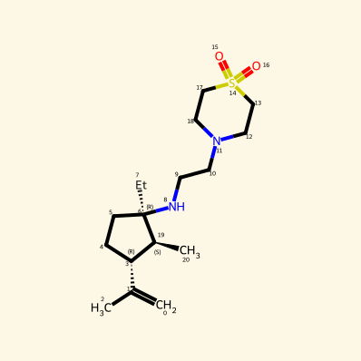 C=C(C)[C@@H]1CC[C@@](CC)(NCCN2CCS(=O)(=O)CC2)[C@H]1C